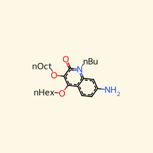 CCCCCCCCOc1c(OCCCCCC)c2ccc(N)cc2n(CCCC)c1=O